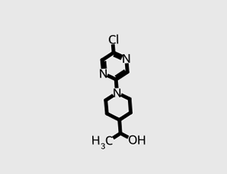 CC(O)C1CCN(c2cnc(Cl)cn2)CC1